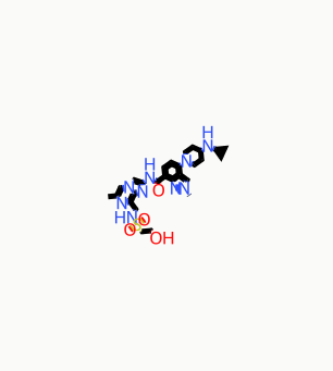 Cc1cn2cc(NC(=O)c3ccc(N4CCC(NC5CC5)CC4)c4cn(C)nc34)nc2c(CNS(=O)(=O)CCO)n1